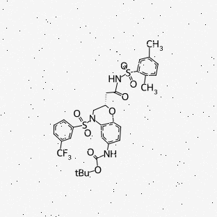 Cc1ccc(C)c(S(=O)(=O)NC(=O)C[C@H]2CN(S(=O)(=O)c3cccc(C(F)(F)F)c3)c3cc(NC(=O)OC(C)(C)C)ccc3O2)c1